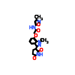 Cc1cc(NC(=O)COc2cccc3c(C4CCC(=O)NC4=O)nn(C)c23)on1